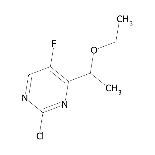 CCOC(C)c1nc(Cl)ncc1F